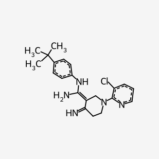 CC(C)(C)c1ccc(N/C(N)=C2\CN(c3ncccc3Cl)CCC2=N)cc1